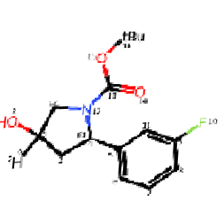 [2H]C1(O)C[C@H](c2cccc(F)c2)N(C(=O)OC(C)(C)C)C1